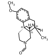 COc1ccc2c(c1)[C@]13CCN(C=O)C[C@H]1[C@@H](C2)N(C)CC3